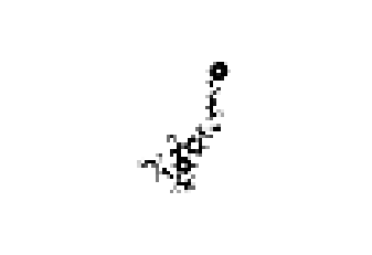 CCC(=O)NCCN1C(=O)C(C)(C)Oc2ccc(C(=O)N(C(C)C)[C@@H]3CCCN(C(=O)OC(C)OC(=O)CCCOCc4ccccc4)C3)cc21